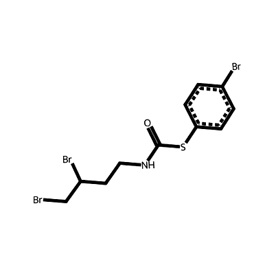 O=C(NCCC(Br)CBr)Sc1ccc(Br)cc1